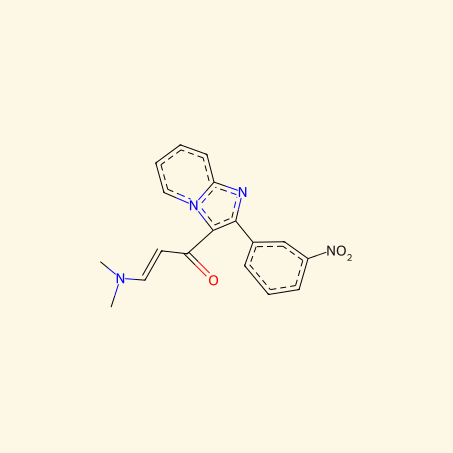 CN(C)/C=C/C(=O)c1c(-c2cccc([N+](=O)[O-])c2)nc2ccccn12